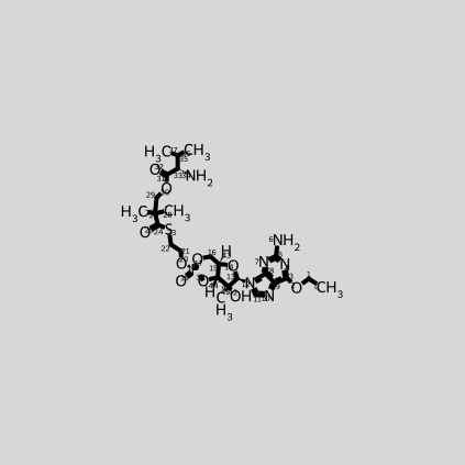 CCOc1nc(N)nc2c1ncn2[C@@H]1O[C@@H]2CO[P@@](=O)(OCCSC(=O)C(C)(C)COC(=O)[C@@H](N)C(C)C)O[C@H]2[C@@]1(C)O